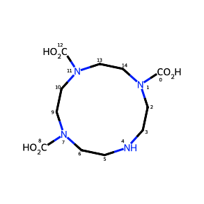 O=C(O)N1CCNCCN(C(=O)O)CCN(C(=O)O)CC1